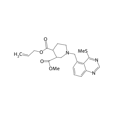 C=CCOC(=O)C1CCN(Cc2cccc3ncnc(SC)c23)CC1C(=O)OC